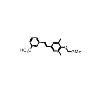 COCOc1c(C)cc(C=Cc2cccc(C(=O)O)c2)cc1C